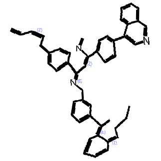 C=C/C=C\Cc1ccc(C(/C=C(\N=C)c2ccc(-c3cncc4ccccc34)cc2)=N/Cc2cccc(/C(C)=c3\cccc\c3=C\CCC)c2)cc1